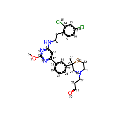 COc1nc(NCCc2ccc(Cl)cc2Cl)cc(-c2cccc(C3(C)CN(CCC=O)CCS3)c2)n1